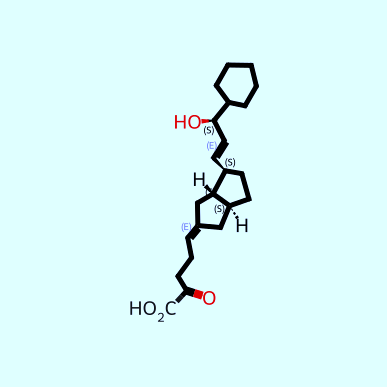 O=C(O)C(=O)CC/C=C1\C[C@@H]2CC[C@H](/C=C/[C@@H](O)C3CCCCC3)[C@H]2C1